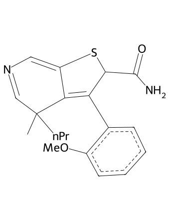 CCCC1(C)C=NC=C2SC(C(N)=O)C(c3ccccc3OC)=C21